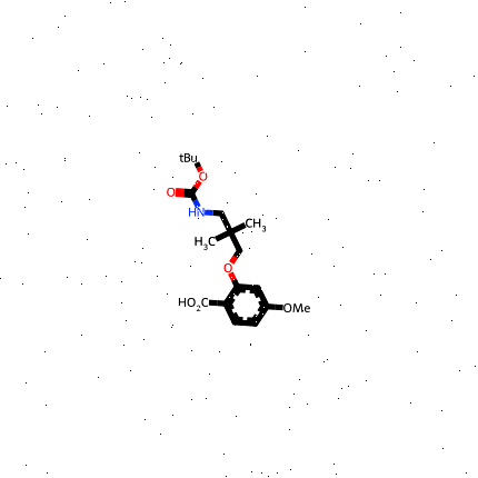 COc1ccc(C(=O)O)c(OCC(C)(C)CNC(=O)OC(C)(C)C)c1